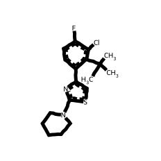 CC(C)(C)c1c(-c2csc(N3CCCCC3)n2)ccc(F)c1Cl